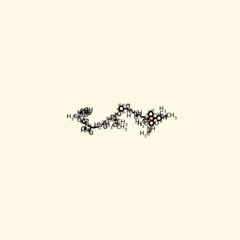 CC/N=c1/cc2oc3cc(NCC)c(C)cc3c(-c3ccccc3C(=O)N(C)CCCC(=O)NCCNC(=O)c3cccc(OCC(OCCOCC(=O)NCC#Cc4cn([C@H]5CC(O[C@H](C)OCC)[C@@H](COP(=O)(O)O)O5)c(=O)[nH]c4=O)SSC(C)(C)C)c3)c-2cc1C